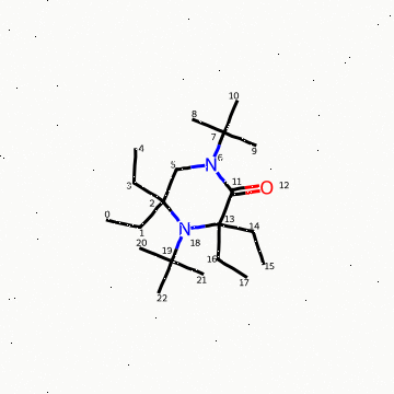 CCC1(CC)CN(C(C)(C)C)C(=O)C(CC)(CC)N1C(C)(C)C